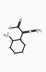 C=C=C(C(=O)Cl)C1CCCCC1C